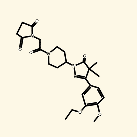 CCOc1cc(C2=NN(C3CCN(C(=O)CN4C(=O)CCC4=O)CC3)C(=O)C2(C)C)ccc1OC